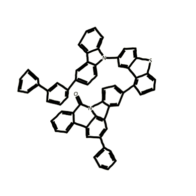 O=c1c2ccccc2c2cc(-c3ccccc3)cc3c4cc(-c5cccc6sc7ccc(-n8c9ccccc9c9cc(-c%10cccc(-c%11ccccc%11)c%10)ccc98)cc7c56)ccc4n1c23